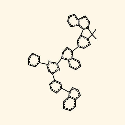 CC1(C)c2ccc(-c3ccc(-c4nc(-c5ccccc5)cc(-c5cccc(-c6cccc7ccccc67)c5)n4)c4ccccc34)cc2-c2c1ccc1ccccc21